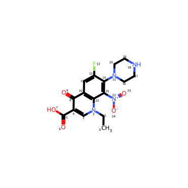 CCn1cc(C(=O)O)c(=O)c2cc(F)c(N3CCNCC3)c([N+](=O)[O-])c21